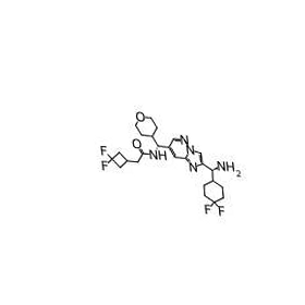 N[C@H](c1cn2ncc([C@H](NC(=O)CC3CC(F)(F)C3)C3CCOCC3)cc2n1)C1CCC(F)(F)CC1